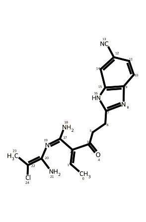 CC=C(C(=O)CCc1nc2ccc(C#N)cc2[nH]1)/C(N)=N\C(N)=C(/C)Cl